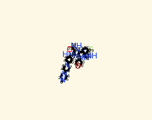 CN1CCN(C2CCN(c3ccc(Nc4nc(NC5CCOCC5)c(-c5ccc(F)c6[nH]ccc56)nc4C(N)=O)cc3)CC2)CC1